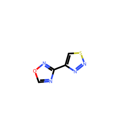 c1nc(-c2csnn2)no1